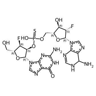 Nc1nc2c(ncn2[C@@H]2O[C@H](CO)[C@@H](F)[C@H]2OP(O)(=S)OC[C@H]2O[C@@H](n3cnc4c3N=CNC4N)[C@@H](F)[C@@H]2O)c(=O)[nH]1